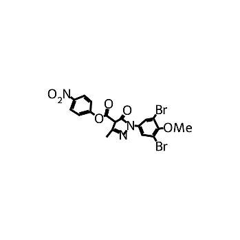 COc1c(Br)cc(N2N=C(C)C(C(=O)Oc3ccc([N+](=O)[O-])cc3)C2=O)cc1Br